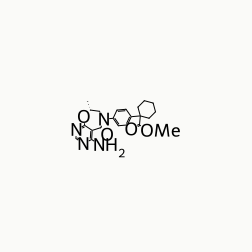 COC(=O)C1(c2ccc(N3C[C@@H](C)Oc4ncnc(N)c4C3=O)cc2)CCCCC1